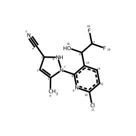 CC1=CC(C#N)NN1c1nc(Cl)ccc1C(O)C(F)F